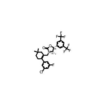 C[C@H]1[C@@H](c2cc(C(F)(F)F)cc(C(F)(F)F)c2)OC(=O)N1CC1=C(c2cc(F)cc(Cl)c2)CCC(C)(C)C1